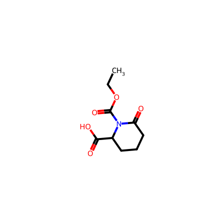 CCOC(=O)N1C(=O)CCCC1C(=O)O